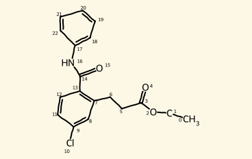 CCOC(=O)CCc1cc(Cl)ccc1C(=O)Nc1ccccc1